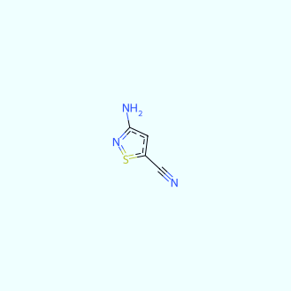 N#Cc1cc(N)ns1